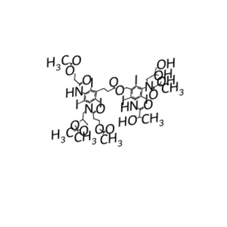 CC(=O)OCCC(=O)Nc1c(I)c(CCC(=O)OCc2c(I)c(NC(=O)C(C)O)c(I)c(N(CC(O)CO)C(=O)C(C)O)c2I)c(I)c(N(CC2COC(C)(C)O2)C(=O)CCOC(C)=O)c1I